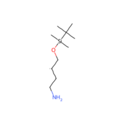 CC(C)(C)[Si](C)(C)OC[CH]CCN